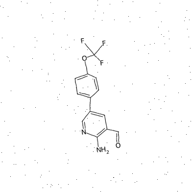 Nc1ncc(-c2ccc(OC(F)(F)F)cc2)cc1C=O